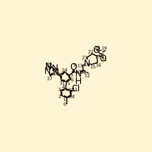 Cc1ccc(-c2cc(C(=O)N[C@H](C)CN3CCC(S(C)(=O)=O)CC3)cc(-n3cnnn3)c2)c(Cl)c1